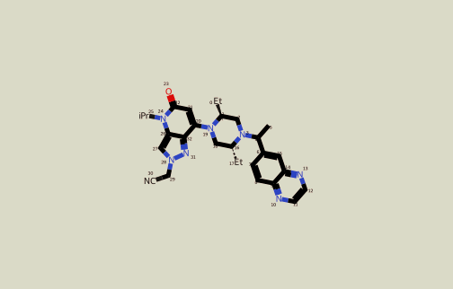 CC[C@H]1CN(C(C)c2ccc3nccnc3c2)[C@H](CC)CN1c1cc(=O)n(C(C)C)c2cn(CC#N)nc12